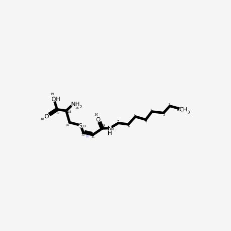 CCCCCCCCNC(=O)/C=C\SCC(N)C(=O)O